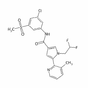 Cc1cccnc1-c1cc(C(=O)Nc2cc(Cl)cc(S(C)(=O)=O)c2)cn1CC(F)F